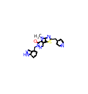 Cn1c2nc(Cc3ccncc3)sc2c2cnn(Cc3cccc4[nH]ncc34)c(=O)c21